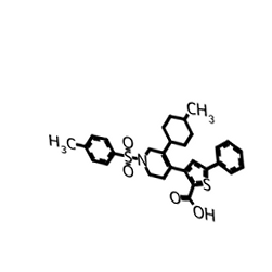 Cc1ccc(S(=O)(=O)N2CCC(c3cc(-c4ccccc4)sc3C(=O)O)=C(C3CCC(C)CC3)C2)cc1